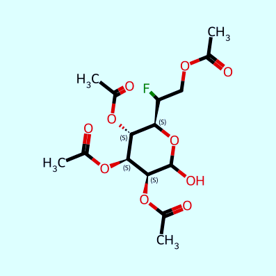 CC(=O)OCC(F)[C@H]1OC(O)[C@@H](OC(C)=O)[C@@H](OC(C)=O)[C@@H]1OC(C)=O